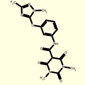 CN1C(=O)C(C(=O)Nc2cccc(Oc3nc(C(F)(F)F)nn3C)c2)C(=O)N(C)C1=O